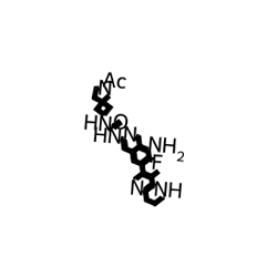 CC(=O)N1CCC2(CC(NC(=O)Nc3cc4cc(-c5cnc6c(c5C)NCCC6)c(F)c(N)c4cn3)C2)C1